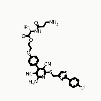 CC(C)[C@H](NC(=O)CCN)C(=O)OCCOc1ccc(-c2c(C#N)c(N)nc(SCc3csc(-c4ccc(Cl)cc4)n3)c2C#N)cc1